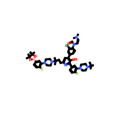 CN(C)/C=C\N(C=O)c1ccc(-c2cc(CCC(C)(C)N3CCN(c4cc(B5OC(C)(C)C(C)(C)O5)ccc4F)CC3)nc(-c3ccc(F)c(N4CCN(C(C)(C)C)CC4)c3)c2O)cc1Cl